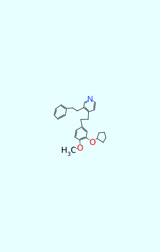 COc1ccc(CCc2ccncc2CCc2ccccc2)cc1OC1CCCC1